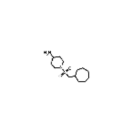 NC1CCN(S(=O)(=O)CC2CCCCCC2)CC1